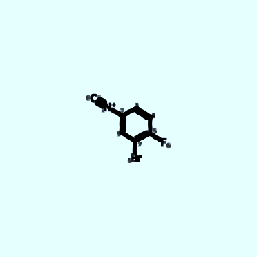 [C-]#[N+]c1ccc(F)c(Br)c1